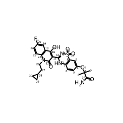 CC(C)(Oc1ccc2c(c1)S(=O)(=O)N=C(c1c(O)c3cc(F)ccc3n(CCC3CC3)c1=O)N2)C(N)=O